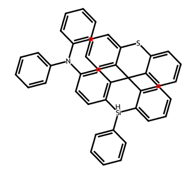 c1ccc(N(c2ccccc2)c2ccc3c(c2)C2(c4ccccc4Sc4ccccc42)c2ccccc2[SiH]3c2ccccc2)cc1